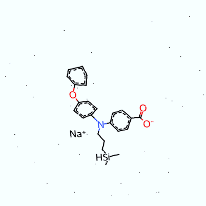 C[SiH](C)CCCN(c1ccc(Oc2ccccc2)cc1)c1ccc(C(=O)[O-])cc1.[Na+]